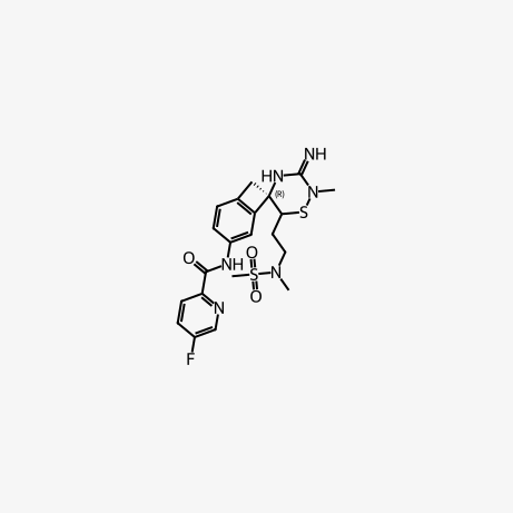 CN1SC(CCN(C)S(C)(=O)=O)[C@]2(Cc3ccc(NC(=O)c4ccc(F)cn4)cc32)NC1=N